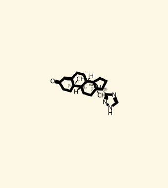 C[C@]12CC[C@H]3[C@@H](CCC4=CC(=O)CC[C@@]43C)[C@@H]1CC[C@@H]2c1nc[nH]n1